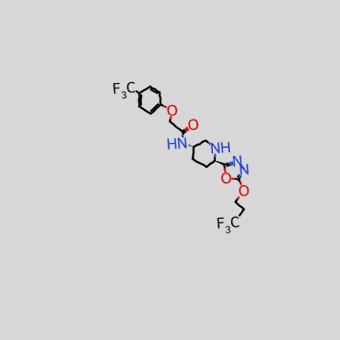 O=C(COc1ccc(C(F)(F)F)cc1)N[C@H]1CC[C@H](c2nnc(OCCC(F)(F)F)o2)NC1